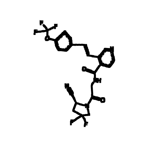 N#C[C@@H]1CC(F)(F)CN1C(=O)CNC(=O)c1ccncc1/C=C/c1ccc(OC(F)(F)F)cc1